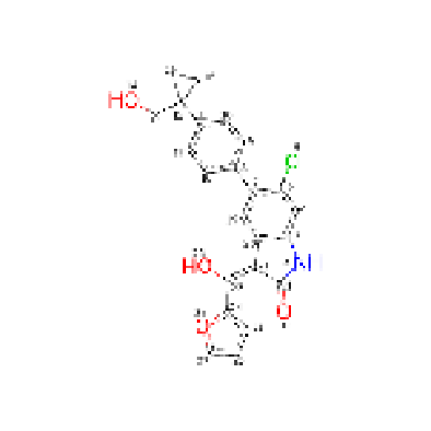 O=C1Nc2cc(Cl)c(-c3ccc(C4(CO)CC4)cc3)cc2C1=C(O)c1ccco1